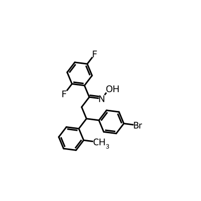 Cc1ccccc1C(CC(=NO)c1cc(F)ccc1F)c1ccc(Br)cc1